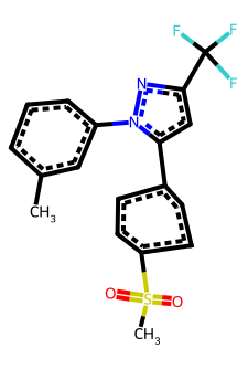 Cc1cccc(-n2nc(C(F)(F)F)cc2-c2ccc(S(C)(=O)=O)cc2)c1